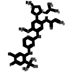 C=CC(=O)Nc1cc(Nc2nccc(Nc3cc(Cl)c(F)cc3C(C)(C)O)n2)c(OC)cc1N1C[C@@H](C)C[C@@H]1CN(C)C